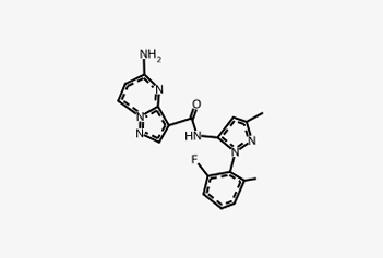 Cc1cc(NC(=O)c2cnn3ccc(N)nc23)n(-c2c(C)cccc2F)n1